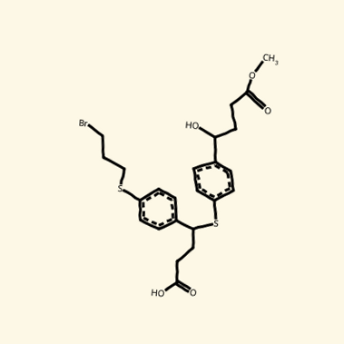 COC(=O)CCC(O)c1ccc(SC(CCC(=O)O)c2ccc(SCCCBr)cc2)cc1